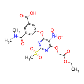 CCOC(=O)COc1nc(S(C)(=O)=O)nc(Oc2cc(C(=O)O)cc(C(=O)N(C)C)c2)c1[N+](=O)[O-]